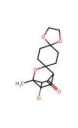 CC12CCC(C(=O)C1Br)C1(CCC3(CC1)OCCO3)O2